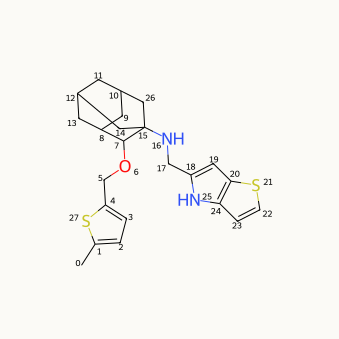 Cc1ccc(COC2C3CC4CC(C3)CC2(NCc2cc3sccc3[nH]2)C4)s1